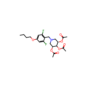 CCCCOc1cc(F)c(CN2C[C@H](OC(C)=O)C(OC(C)=O)[C@H](OC(C)=O)C2)c(F)c1